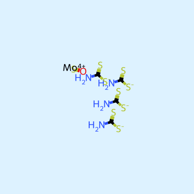 NC(=S)[S-].NC(=S)[S-].NC(=S)[S-].NC(=S)[S-].O=S.[Mo+4]